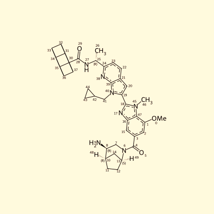 COc1cc(C(=O)N2C[C@H](N)[C@@H]3CC[C@H]2C3)cc2nc(-c3cc4ccc([C@@H](C)NC(=O)C56C7C8C9C7C5C9C86)nc4n3CC3CC3)n(C)c12